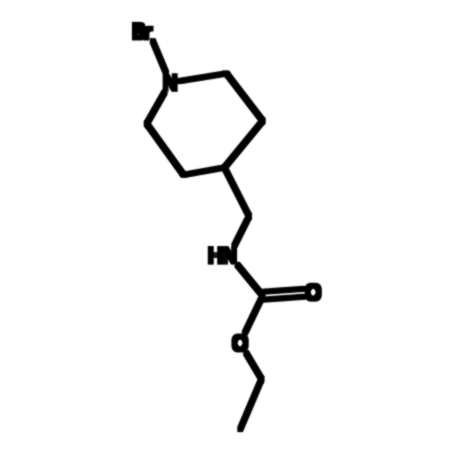 CCOC(=O)NCC1CCN(Br)CC1